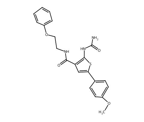 COc1ccc(-c2cc(C(=O)NCCOc3ccccc3)c(NC(N)=O)s2)cc1